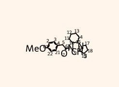 COc1ccc(CC(=O)N(C)C2CCCCC2N2CCCC2)cc1